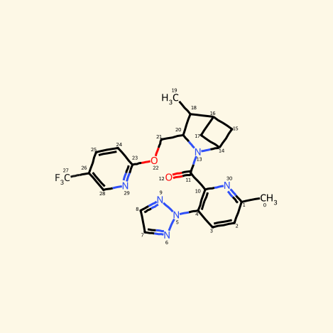 Cc1ccc(-n2nccn2)c(C(=O)N2C3CC(C3)C(C)C2COc2ccc(C(F)(F)F)cn2)n1